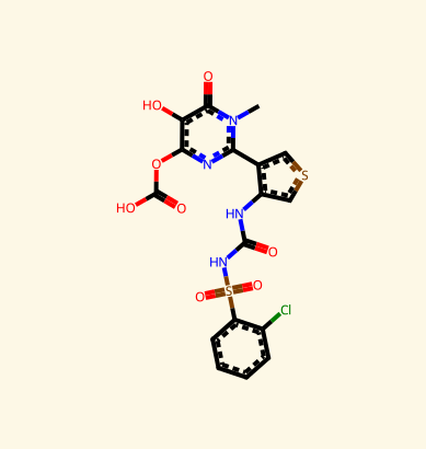 Cn1c(-c2cscc2NC(=O)NS(=O)(=O)c2ccccc2Cl)nc(OC(=O)O)c(O)c1=O